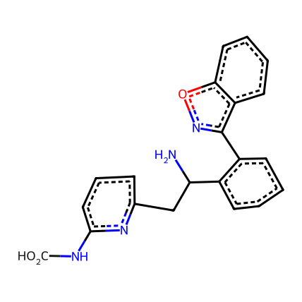 NC(Cc1cccc(NC(=O)O)n1)c1ccccc1-c1noc2ccccc12